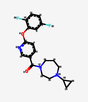 O=C(c1ccc(Oc2cc(F)ccc2F)nc1)N1CCCN(C2CC2)CC1